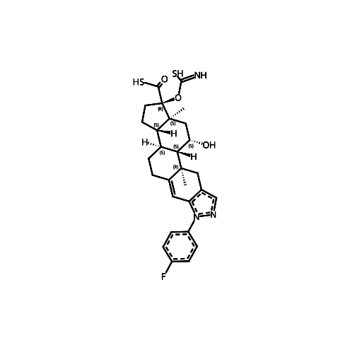 C[C@]12Cc3cnn(-c4ccc(F)cc4)c3C=C1CC[C@@H]1[C@@H]2[C@@H](O)C[C@@]2(C)[C@H]1CC[C@]2(OC(=N)S)C(=O)S